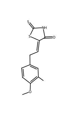 COc1ccc(CC=C2SC(=S)NC2=O)cc1C